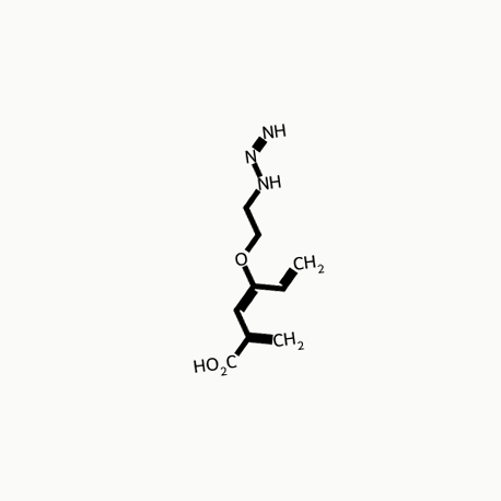 C=C/C(=C\C(=C)C(=O)O)OCCNN=N